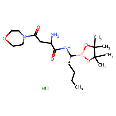 CCCC[C@H](NC(=O)C(N)CC(=O)N1CCOCC1)B1OC(C)(C)C(C)(C)O1.Cl